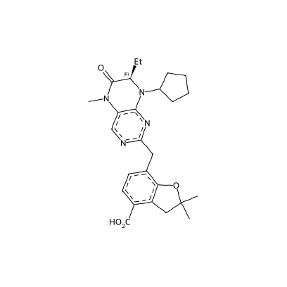 CC[C@@H]1C(=O)N(C)c2cnc(Cc3ccc(C(=O)O)c4c3OC(C)(C)C4)nc2N1C1CCCC1